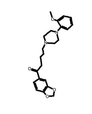 COc1ccccc1N1CCN(CCCCC(=O)c2ccc3c(c2)OCO3)CC1